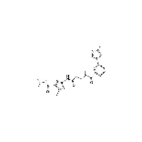 Cc1nc(NC(=O)CCNC(=O)c2cccc(-c3cnn(C)c3)c2)sc1C(=O)OC(C)C